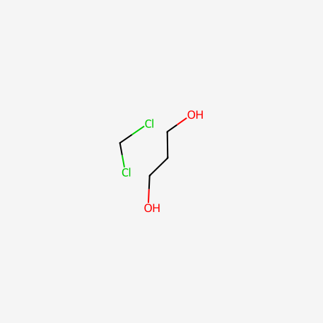 ClCCl.OCCCO